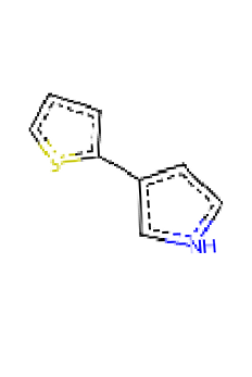 c1csc(-c2cc[nH]c2)c1